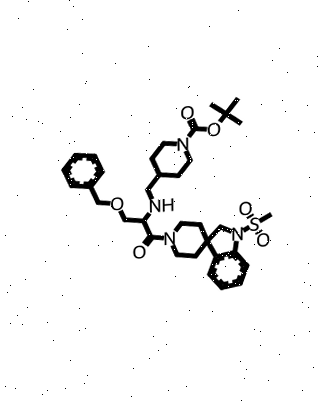 CC(C)(C)OC(=O)N1CCC(CNC(COCc2ccccc2)C(=O)N2CCC3(CC2)CN(S(C)(=O)=O)c2ccccc23)CC1